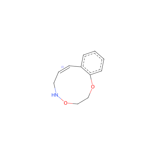 C1=C\c2ccccc2OCCONC/1